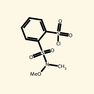 CON(C)S(=O)(=O)c1ccccc1S(=O)(=O)Cl